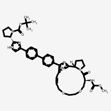 COC(=O)N[C@H]1COCCOC/C=C\c2[nH]c(nc2-c2ccc(-c3ccc(-c4c[nH]c([C@@H]5CCCN5C(=O)OC(C)(C)C)n4)cc3)cc2)[C@@H]2CCCN2C1=O